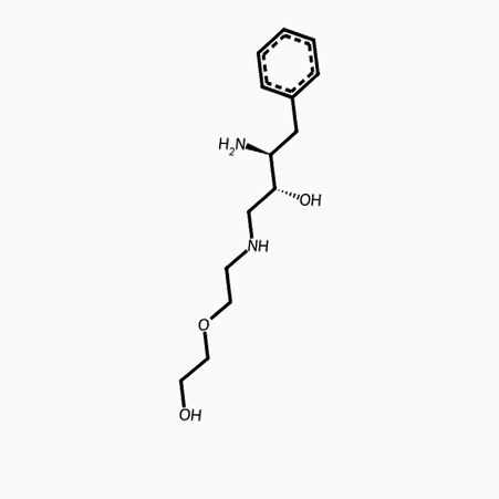 N[C@@H](Cc1ccccc1)[C@H](O)CNCCOCCO